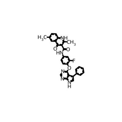 Cc1ccc2[nH]c(C)c(C(=O)Nc3ccc(Oc4ncnc5[nH]cc(-c6ccccc6)c45)c(F)c3)c(=O)c2c1